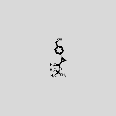 C=C(OC(C)(C)C)C1C[C@H]1c1ccc(CO)cc1